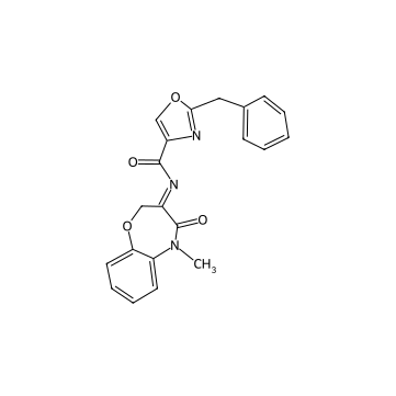 CN1C(=O)/C(=N/C(=O)c2coc(Cc3ccccc3)n2)COc2ccccc21